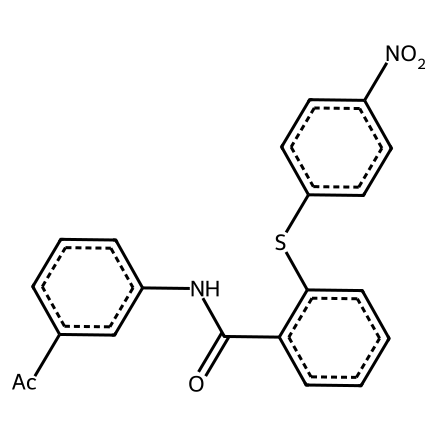 CC(=O)c1cccc(NC(=O)c2ccccc2Sc2ccc([N+](=O)[O-])cc2)c1